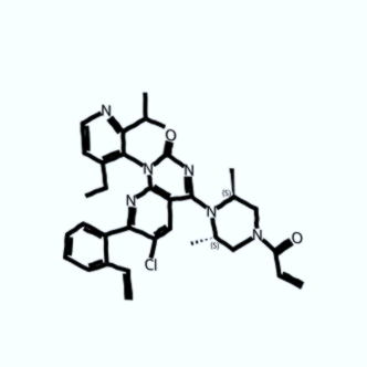 C=CC(=O)N1C[C@H](C)N(c2nc(=O)n(-c3c(CC)ccnc3C(C)C)c3nc(-c4ccccc4C=C)c(Cl)cc23)[C@@H](C)C1